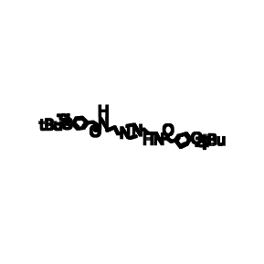 CC(C)(C)[Si](C)(C)Oc1ccc(CC(=O)NCCCN2CCN(CCCNC(=O)Cc3ccc(O[Si](C)(C)C(C)(C)C)cc3)CC2)cc1